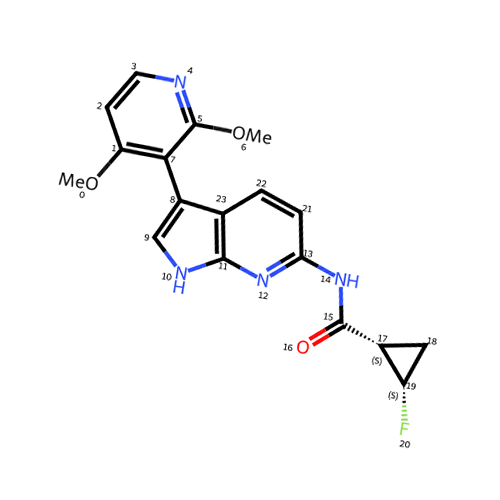 COc1ccnc(OC)c1-c1c[nH]c2nc(NC(=O)[C@@H]3C[C@@H]3F)ccc12